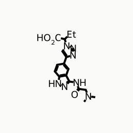 CCC(C(=O)O)n1cc(-c2ccc3[nH]nc(NC(=O)CN(C)C)c3c2)nn1